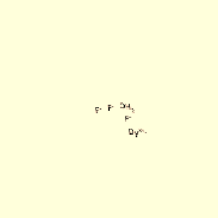 O.[Dy+3].[F-].[F-].[F-]